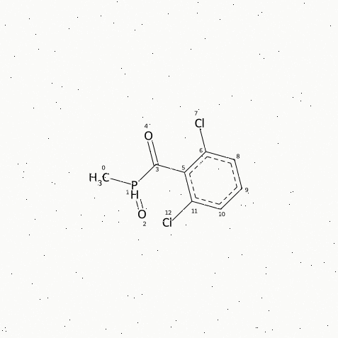 C[PH](=O)C(=O)c1c(Cl)cccc1Cl